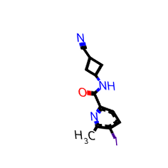 Cc1nc(C(=O)NC2CC(C#N)C2)ccc1I